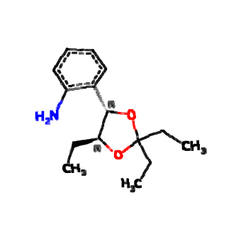 CC[C@@H]1OC(CC)(CC)O[C@H]1c1ccccc1N